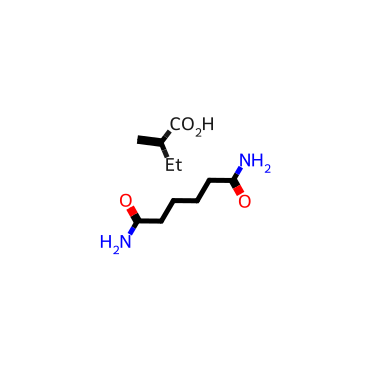 C=C(CC)C(=O)O.NC(=O)CCCCC(N)=O